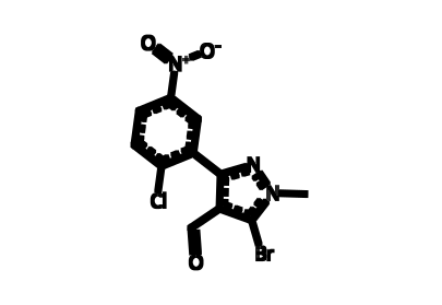 Cn1nc(-c2cc([N+](=O)[O-])ccc2Cl)c(C=O)c1Br